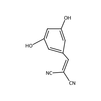 N#CC(C#N)=Cc1cc(O)cc(O)c1